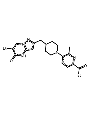 CCC(=O)c1ccc(N2CCN(Cc3cc4[nH]c(=O)c(CC)cn4n3)CC2)c(C)n1